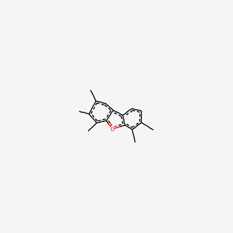 Cc1cc2c(oc3c(C)c(C)ccc32)c(C)c1C